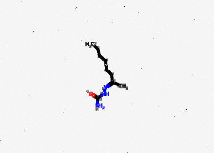 CCCCCCC(C)=NNC(N)=O